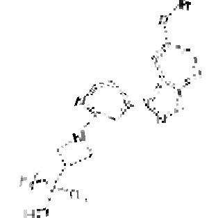 CC(C)Oc1ccc2cnn(-c3ccnc(N4CC(C(C)(C)O)C4)c3)c2c1